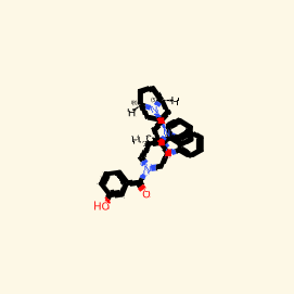 Cc1nc2ccccc2n1[C@H]1C[C@H]2CC[C@@H](C1)N2CCC1(c2ccccc2)CCN(C(=O)c2cccc(O)c2)CC1